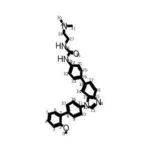 COc1ccccc1-c1ccc(-n2cnc3ccc(-c4ccc(NC(=O)NCCN(C)C)cc4)cc32)cc1